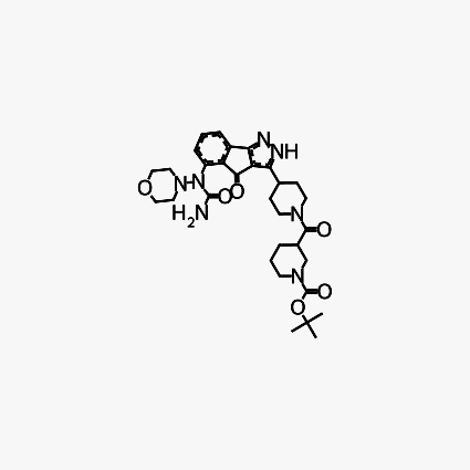 CC(C)(C)OC(=O)N1CCCC(C(=O)N2CCC(c3[nH]nc4c3C(=O)c3c-4cccc3N(C(N)=O)N3CCOCC3)CC2)C1